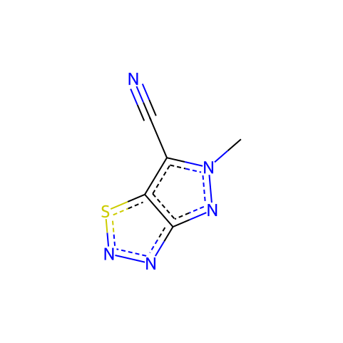 Cn1nc2nnsc2c1C#N